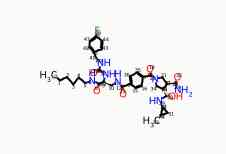 CCCCCCNC(=O)[C@H](CNC(=O)c1ccc(C(=O)N2C[C@@H](C(N)=O)[C@H](C(O)N[C@H]3C[C@@H]3C)C2)cc1)NC(=O)NCc1ccc(F)cc1